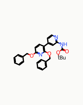 CC(C)(C)OC(=O)Nc1cc(-c2ccc(OCc3ccccc3)nc2OCc2ccccc2)ccn1